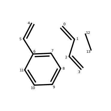 C=CC=C.C=Cc1ccccc1.CC